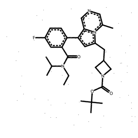 CCN(C(=O)c1cc(F)ccc1-c1cc(CC2CN(C(=O)OC(C)(C)C)C2)n2c(C)cncc12)C(C)C